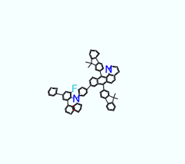 CC1(C)c2ccccc2-c2ccc(-c3c4cc(-c5ccc(N(c6ccccc6)c6c(F)cc(-c7ccccc7)cc6-c6ccccc6)cc5)ccc4c(-c4ccc5c(c4)C(C)(C)c4ccccc4-5)c4c3ccc3cccnc34)cc21